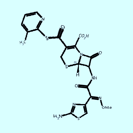 CON=C(C(=O)NC1C(=O)N2C(C(=O)O)=C(C(=O)Sc3ncccc3C)CS[C@@H]12)c1csc(N)n1